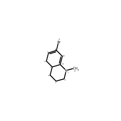 CN1CCCC2CC=C(Br)C=C21